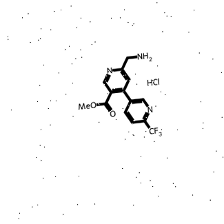 COC(=O)c1cnc(CN)cc1-c1ccc(C(F)(F)F)nc1.Cl